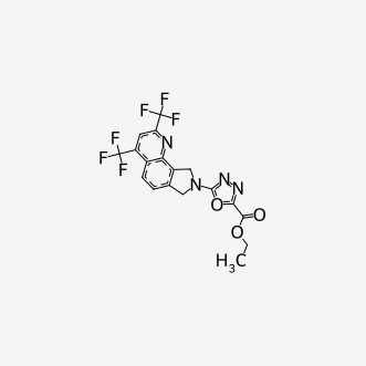 CCOC(=O)c1nnc(N2Cc3ccc4c(C(F)(F)F)cc(C(F)(F)F)nc4c3C2)o1